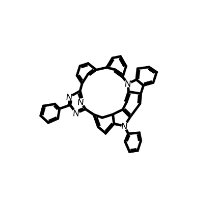 C1=C2CC3C(=C1)N(c1ccccc1)c1cc4c5ccccc5n(c4cc13)-c1cccc(c1)-c1cccc(c1)-c1nc2nc(-c2ccccc2)n1